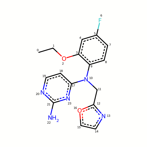 CCOc1cc(F)ccc1N(Cc1ncco1)c1ccnc(N)n1